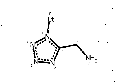 CCn1nnnc1CN